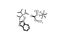 CN(C)[P+](On1nnc2ccccc21)(N(C)C)N(C)C.F[P-](F)(F)(F)(F)F.O=C(OC(Cl)(Cl)Cl)OC(Cl)(Cl)Cl